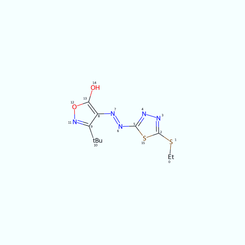 CCSc1nnc(N=Nc2c(C(C)(C)C)noc2O)s1